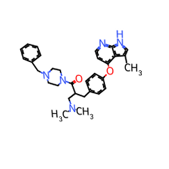 Cc1c[nH]c2nccc(Oc3ccc(CC(CN(C)C)C(=O)N4CCN(Cc5ccccc5)CC4)cc3)c12